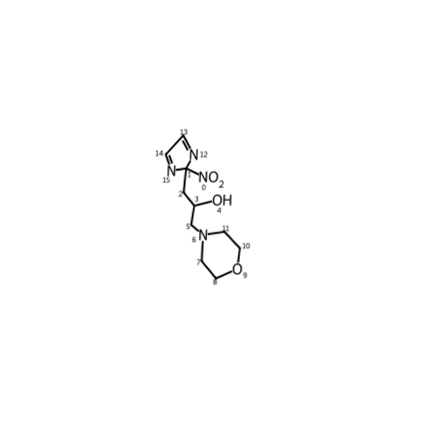 O=[N+]([O-])C1(CC(O)CN2CCOCC2)N=CC=N1